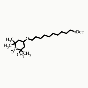 CCCCCCCCCCCCCCCCCCCCOC1CC(C)(C)N([O])C(C)(C)C1